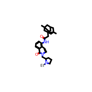 CCN1CCCC1Cn1ccc2c(NC(=O)CC34CC5CC(C)(CC(C)(C5)C3)C4)cccc2c1=O